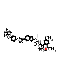 Cc1ccc(C(C)C)c(N2C(=O)CSC2=NC(=O)NC2Cc3ccc(-c4ncn(-c5ccc(OC(F)(F)C(F)(F)F)cc5)n4)cc3C2)c1